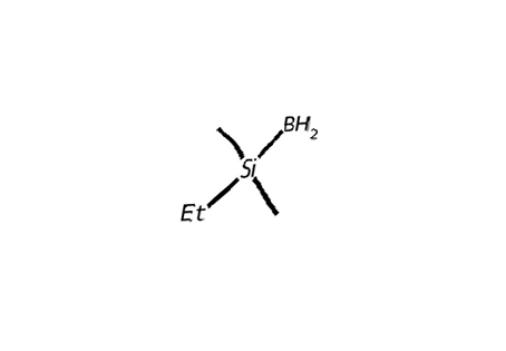 B[Si](C)(C)CC